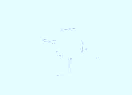 C[C@@H]1CSC(=O)C2CCCN2C1=O